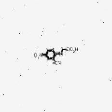 N#Cc1cc([N+](=O)[O-])ccc1NCC(=O)O